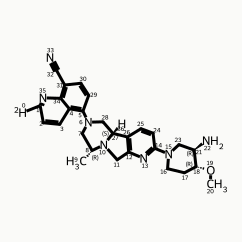 [2H]c1ccc2c(N3C[C@@H](C)N4Cc5nc(N6CC[C@@H](OC)[C@H](N)C6)ccc5[C@H]4C3)ccc(C#N)c2n1